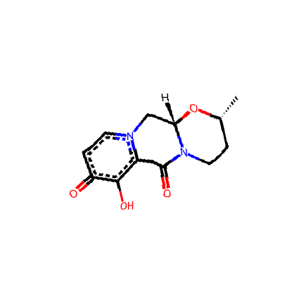 C[C@@H]1CCN2C(=O)c3c(O)c(=O)ccn3C[C@@H]2O1